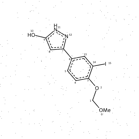 COCOc1ccc(-c2cc(O)[nH]n2)cc1I